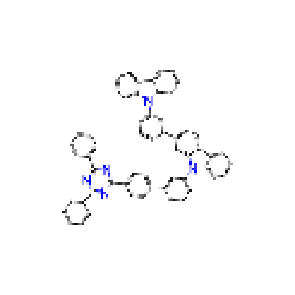 c1ccc(-c2nc(-c3ccccc3)nc(-c3ccc(-c4cccc(-n5c6ccccc6c6ccc(-c7cccc(-n8c9ccccc9c9ccccc98)c7)cc65)c4)cc3)n2)cc1